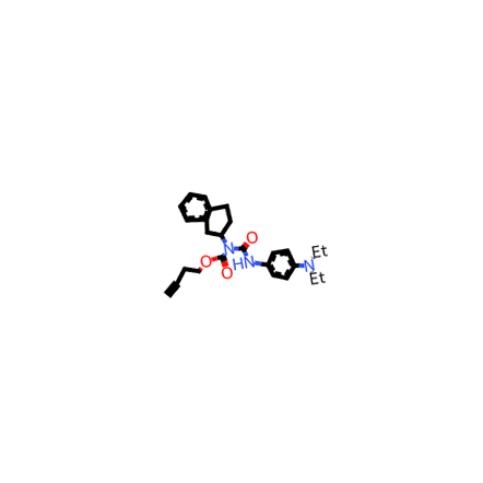 C#CCCOC(=O)N(C(=O)Nc1ccc(N(CC)CC)cc1)C1CCc2ccccc2C1